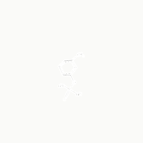 CCCP(=O)(CCC)Oc1cccc(C)c1